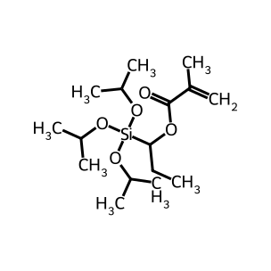 C=C(C)C(=O)OC(CC)[Si](OC(C)C)(OC(C)C)OC(C)C